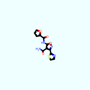 NC(=O)c1c(-c2nccs2)noc1NC(=O)c1ccco1